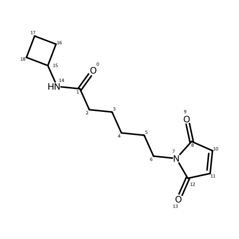 O=C(CCCCCN1C(=O)C=CC1=O)NC1CCC1